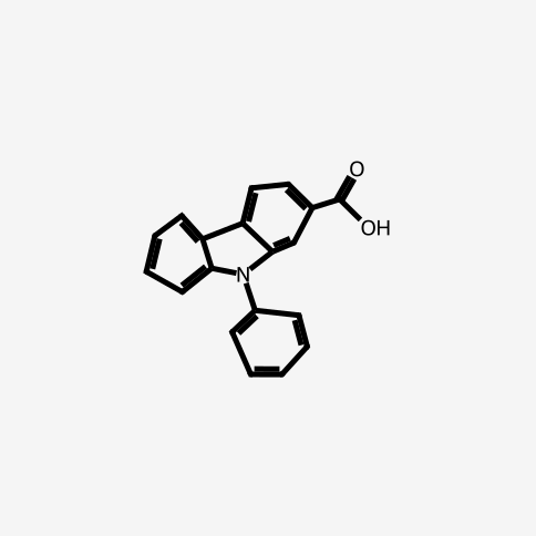 O=C(O)c1ccc2c3ccccc3n(-c3ccccc3)c2c1